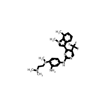 Cc1cccc2c(-c3nc(Nc4ccc(N(C)CCN(C)C)c(N)c4)ncc3C(F)(F)F)cn(C)c12